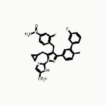 N[S+]([O-])c1ccc(Cc2c(-c3ccc(F)c(-c4cccc(F)c4)c3)nn(C3NC(C(=O)O)=CS3)c2CC2CC2)c(F)c1